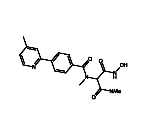 CNC(=O)C(C(=O)NO)N(C)C(=O)c1ccc(-c2cc(C)ccn2)cc1